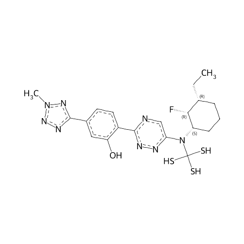 CC[C@@H]1CCC[C@H](N(c2cnc(-c3ccc(-c4nnn(C)n4)cc3O)nn2)C(S)(S)S)[C@@H]1F